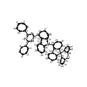 c1ccc(-c2nc(-c3ccccc3)nc(-c3cccc4c3c3ccccc3n4-c3cccc4c3-c3ccccc3C43c4ccccc4Oc4ccccc43)n2)cc1